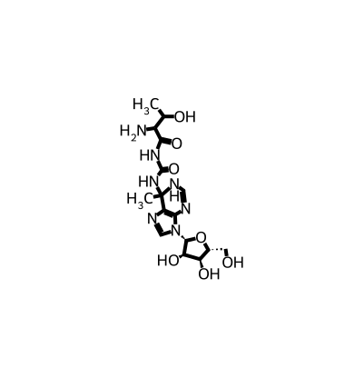 CC(O)C(N)C(=O)NC(=O)NC1(C)NC=Nc2c1ncn2[C@@H]1O[C@H](CO)[C@@H](O)[C@H]1O